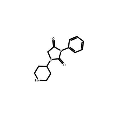 O=C1CN(C2CCNCC2)C(=O)N1c1ccccc1